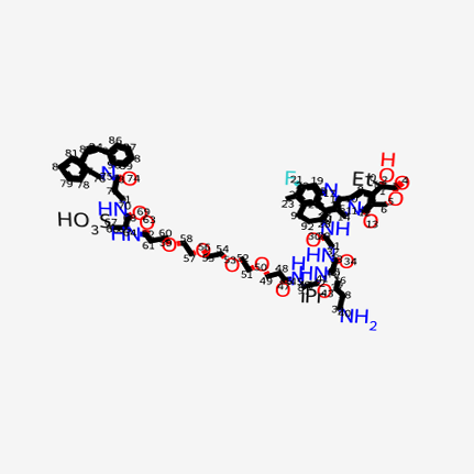 CC[C@@]1(O)C(=O)OCc2c1cc1n(c2=O)Cc2c-1nc1cc(F)c(C)c3c1c2[C@@H](NC(=O)CNC(=O)[C@H](CCCCN)NC(=O)[C@@H](NC(=O)CCOCCOCCOCCOCCC(=O)NC(CS(=O)(=O)O)C(=O)NCCC(=O)N1Cc2ccccc2C#Cc2ccccc21)C(C)C)CC3